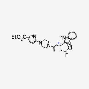 C=C(/C=C(\CC(F)Cl)c1nc2ccccc2n1C)N1CCN(c2ccc(C(=O)OCC)cn2)CC1